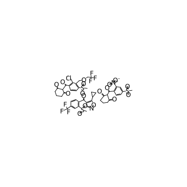 CS(=O)(=O)c1cc(C(F)(F)F)ccc1C(=O)c1cnoc1C1CC1.CS(=O)(=O)c1ccc(C(=O)C2C(=O)CCCC2=O)c(Cl)c1COCC(F)(F)F.CS(=O)(=O)c1ccc(C(=O)C2C(=O)CCCC2=O)c([N+](=O)[O-])c1